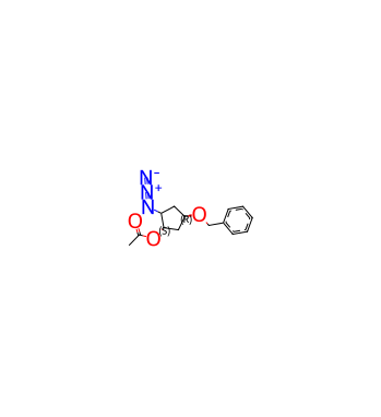 CC(=O)O[C@H]1C[C@H](OCc2ccccc2)CC1N=[N+]=[N-]